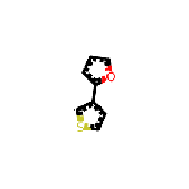 [c]1sccc1-c1ccco1